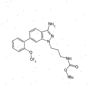 CC(C)(C)OC(=O)NCCCn1nc(N)c2ccc(-c3ccccc3OC(F)(F)F)cc21